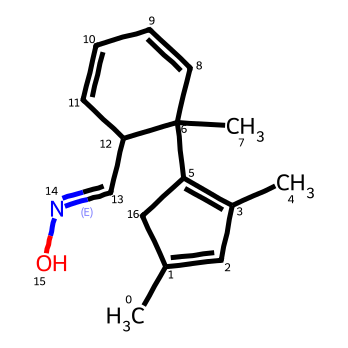 CC1=CC(C)=C(C2(C)C=CC=CC2/C=N/O)C1